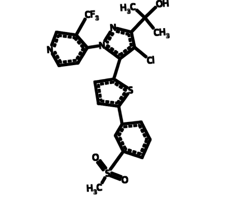 CC(C)(O)c1nn(-c2ccncc2C(F)(F)F)c(-c2ccc(-c3cccc(S(C)(=O)=O)c3)s2)c1Cl